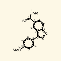 COC(=O)c1ccc2scc(-c3ccc(OC)cc3)c2c1